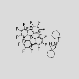 CC1(C[NH2+]CC2(C)CCCCC2)CCCCC1.Fc1c(F)c(F)c([B-](c2c(F)c(F)c(F)c(F)c2F)(c2c(F)c(F)c(F)c(F)c2F)c2c(F)c(F)c(F)c(F)c2F)c(F)c1F